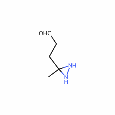 CC1(CCC=O)NN1